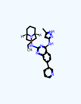 Cc1cc(Nc2nc(N[C@@H]3C[C@H]4CCC[C@@H](C3)N4CCC#N)nc3cc(-c4cccnc4)ccc23)n[nH]1